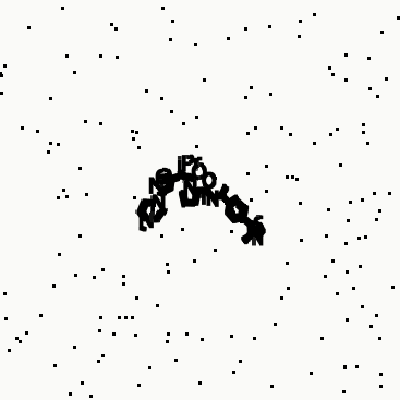 Cc1ncsc1-c1ccc(C(C)NC(=O)C2CCCN2C(=O)C(c2cc(N3CCN(C)CC3)no2)C(C)C)cc1